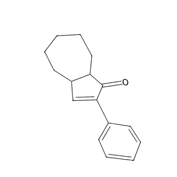 O=C1C(c2ccccc2)=CC2CCCCCC12